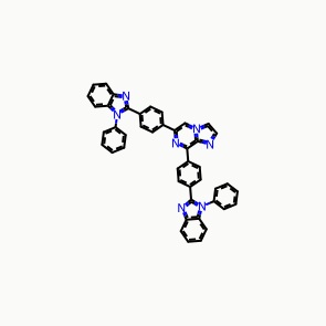 c1ccc(-n2c(-c3ccc(-c4cn5ccnc5c(-c5ccc(-c6nc7ccccc7n6-c6ccccc6)cc5)n4)cc3)nc3ccccc32)cc1